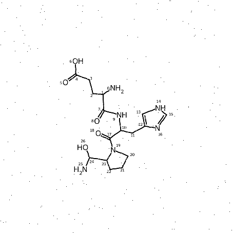 NC(CCC(=O)O)C(=O)NC(Cc1c[nH]cn1)C(=O)N1CCCC1C(N)O